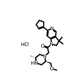 COC[C@H]1CN[C@H](C)CN1CC(=O)N1CC(C)(C)c2cnc(C3=CCCC3)cc21.Cl